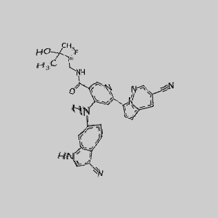 CC(C)(O)[C@H](F)CNC(=O)c1cnc(-c2ccc3cc(C#N)cnn23)cc1Nc1ccc2c(C#N)c[nH]c2c1